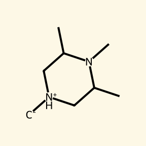 [CH2-][NH+]1CC(C)N(C)C(C)C1